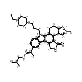 CCN1CCN(CCCn2c3ccc(/C(C)=N/OCC(C)C)cc3c3c4c(c5c(c32)CCc2nn(C)cc2-5)C(=O)NC4)CC1